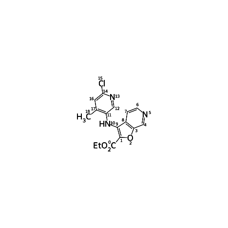 CCOC(=O)c1oc2cnccc2c1Nc1cnc(Cl)cc1C